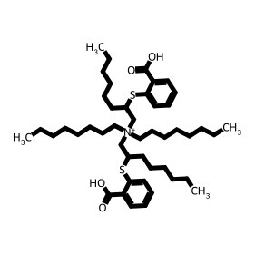 CCCCCCCC[N+](CCCCCCCC)(CC(CCCCCC)Sc1ccccc1C(=O)O)CC(CCCCCC)Sc1ccccc1C(=O)O